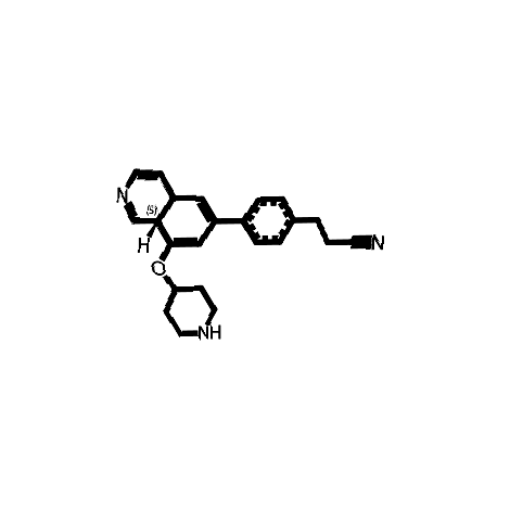 N#CCCc1ccc(C2=CC3C=CN=C[C@H]3C(OC3CCNCC3)=C2)cc1